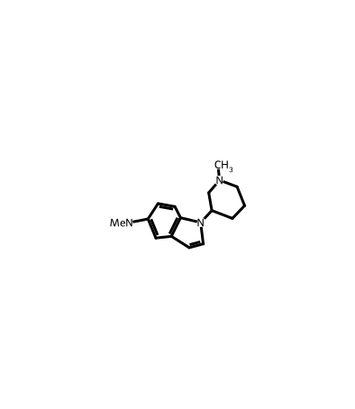 CNc1ccc2c(ccn2C2CCCN(C)C2)c1